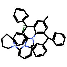 Cc1cc(C(c2ccccc2)c2ccccc2)c(-n2cc3cccc(N4CCCCC4)n3[c]2=[Au-2][Cl])c(C(c2ccccc2)c2ccccc2)c1